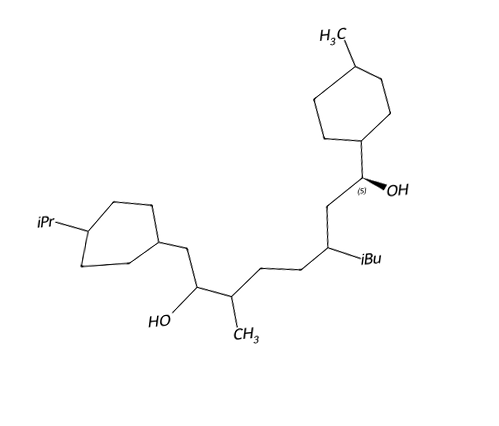 CCC(C)C(CCC(C)C(O)CC1CCC(C(C)C)CC1)C[C@H](O)C1CCC(C)CC1